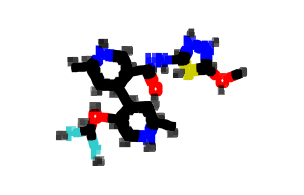 COc1nnc(NC(=O)c2cnc(C)cc2-c2cc(C)ncc2OC(F)F)s1